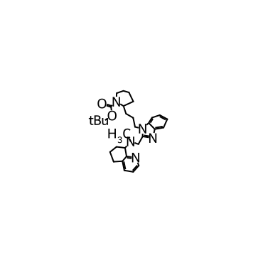 CN(Cc1nc2ccccc2n1CCCC1CCCCN1C(=O)OC(C)(C)C)C1CCCc2cccnc21